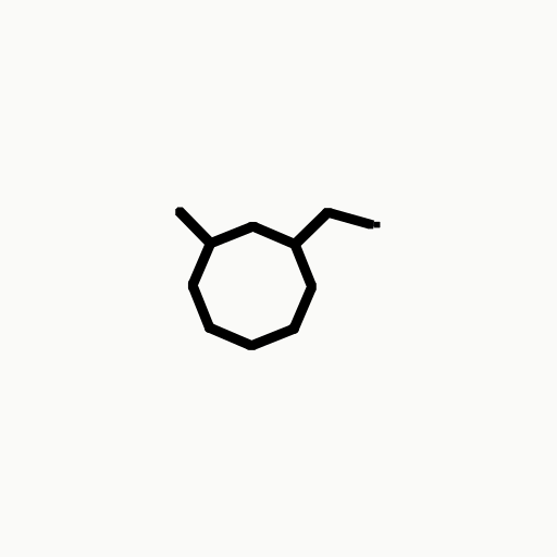 [CH2]CC1CCCCCC(C)C1